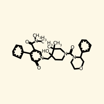 CN(C)C(=O)c1cn(CC2(O)CCN(C(=O)N3CCOCC3c3ccccc3)CC2(C)C)c(=O)cc1-c1ccccc1